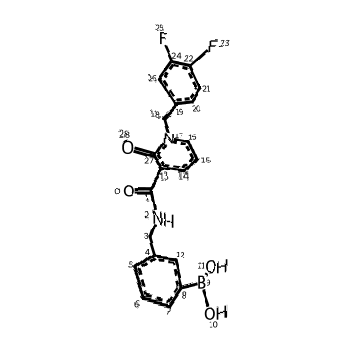 O=C(NCc1cccc(B(O)O)c1)c1cccn(Cc2ccc(F)c(F)c2)c1=O